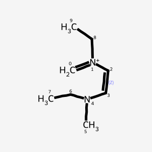 C=[N+](/C=C\N(C)CC)CC